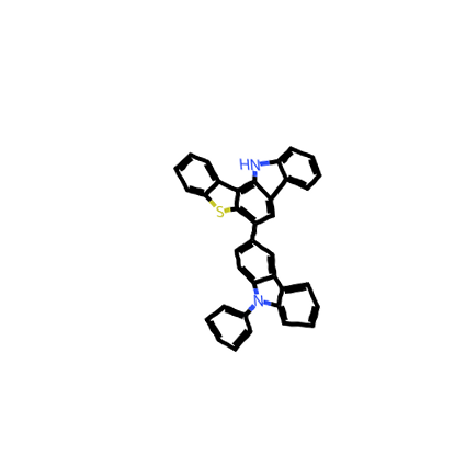 c1ccc(-n2c3ccccc3c3cc(-c4cc5c6ccccc6[nH]c5c5c4sc4ccccc45)ccc32)cc1